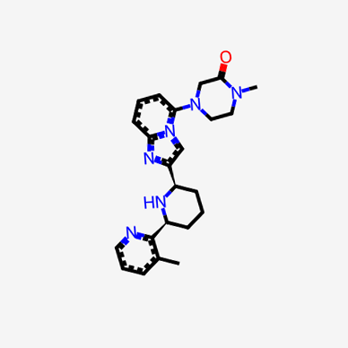 Cc1cccnc1[C@@H]1CCC[C@H](c2cn3c(N4CCN(C)C(=O)C4)cccc3n2)N1